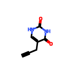 C#CCc1c[nH]c(=O)[nH]c1=O